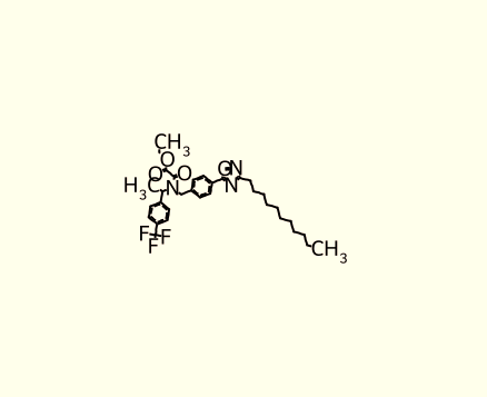 CCCCCCCCCCCc1noc(-c2ccc(CN(C(=O)C(=O)OCC)C(C)c3ccc(C(F)(F)F)cc3)cc2)n1